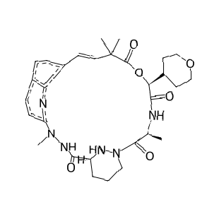 C[C@@H]1NC(=O)[C@H](C2CCOCC2)OC(=O)C(C)(C)/C=C/c2ccc3ccc(nc3c2)N(C)NC(=O)[C@@H]2CCCN(N2)C1=O